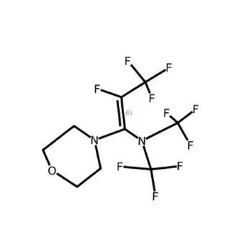 F/C(=C(\N1CCOCC1)N(C(F)(F)F)C(F)(F)F)C(F)(F)F